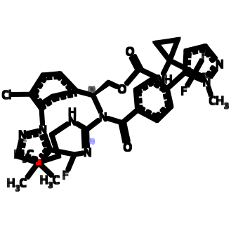 Cn1nccc1-c1ccc(C(=O)N2/C(NCCC(C)(C)C)=N/C(F)c3ncnn3-c3cc(ccc3Cl)[C@H]2COC(=O)NC2(C(F)(F)F)CC2)cc1